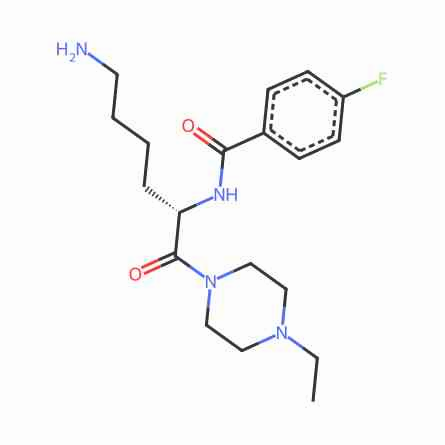 CCN1CCN(C(=O)[C@H](CCCCN)NC(=O)c2ccc(F)cc2)CC1